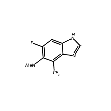 CNc1c(F)cc2[nH][c]nc2c1C(F)(F)F